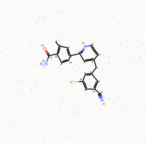 Cc1cc(-c2cc(Cc3cc(F)cc(C#N)c3)ccn2)ccc1C(N)=O